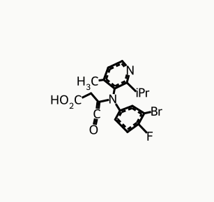 Cc1ccnc(C(C)C)c1N(C(=C=O)CC(=O)O)c1ccc(F)c(Br)c1